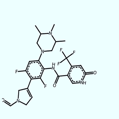 CC1CN(c2cc(F)c(C3=CCN(C=O)C3)c(F)c2NC(=O)c2c[nH]c(=O)cc2C(F)(F)F)CC(C)N1C